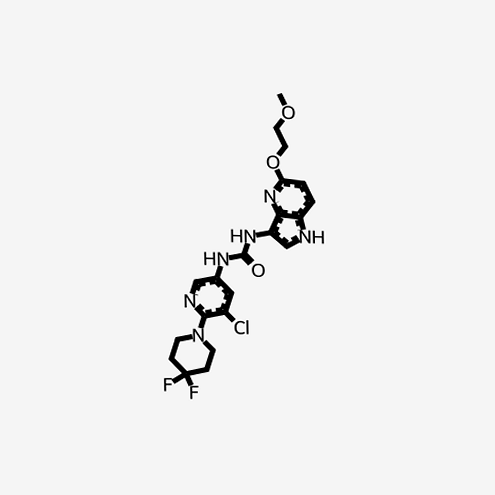 COCCOc1ccc2[nH]cc(NC(=O)Nc3cnc(N4CCC(F)(F)CC4)c(Cl)c3)c2n1